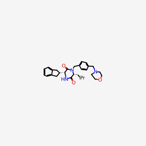 CC(C)C[C@@H]1C(=O)N[C@H](C2Cc3ccccc3C2)C(=O)N1Cc1ccc(CN2CCOCC2)cc1